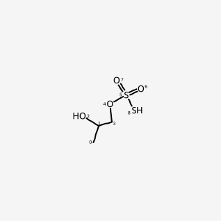 CC(O)COS(=O)(=O)S